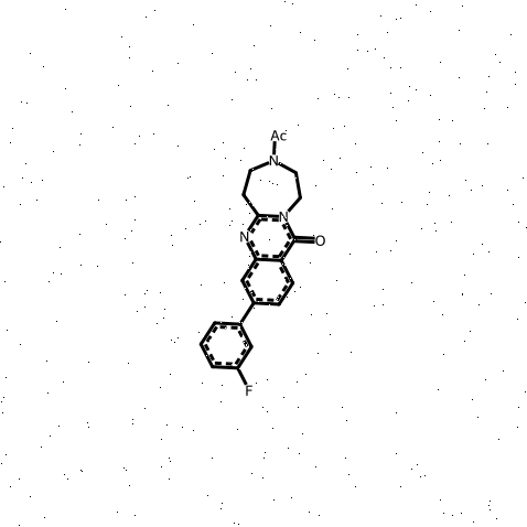 CC(=O)N1CCc2nc3cc(-c4cccc(F)c4)ccc3c(=O)n2CC1